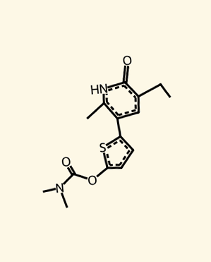 CCc1cc(-c2ccc(OC(=O)N(C)C)s2)c(C)[nH]c1=O